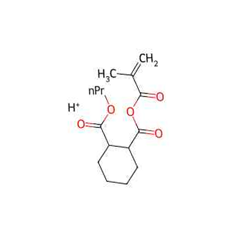 C=C(C)C(=O)OC(=O)C1CCCCC1C(=O)OCCC.[H+]